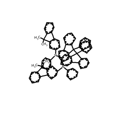 CC1(C)c2ccccc2-c2ccc(N(c3ccccc3)c3ccc4c(c3)C(c3ccccc3)(C3(c5ccccc5)c5ccccc5-c5ccc(N(c6ccccc6)c6ccc7c(c6)C(C)(C)c6ccccc6-7)cc53)c3ccccc3-4)cc21